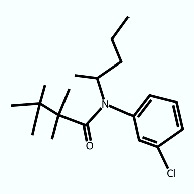 CCCC(C)N(C(=O)C(C)(C)C(C)(C)C)c1cccc(Cl)c1